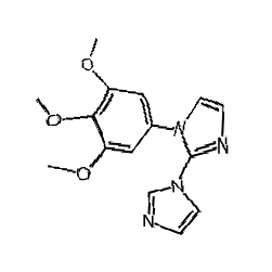 COc1cc(-n2ccnc2-n2ccnc2)cc(OC)c1OC